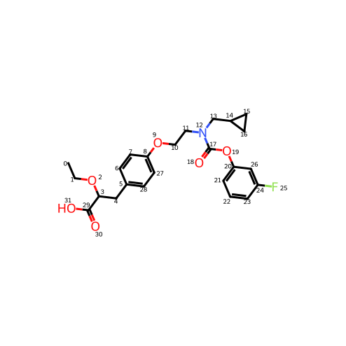 CCOC(Cc1ccc(OCCN(CC2CC2)C(=O)Oc2cccc(F)c2)cc1)C(=O)O